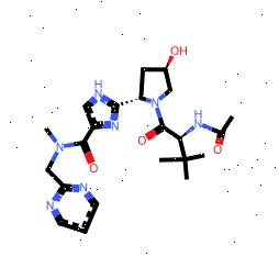 CC(=O)N[C@H](C(=O)N1C[C@H](O)C[C@H]1c1nc(C(=O)N(C)Cc2ncccn2)c[nH]1)C(C)(C)C